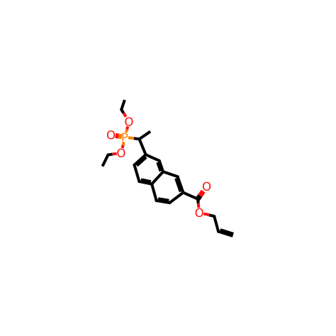 C=CCOC(=O)c1ccc2ccc(C(C)P(=O)(OCC)OCC)cc2c1